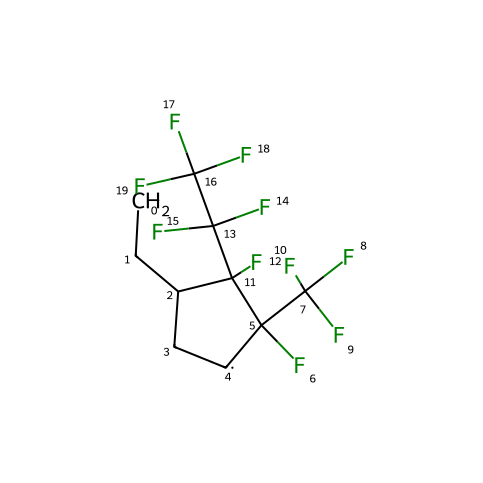 [CH2]CC1C[CH]C(F)(C(F)(F)F)C1(F)C(F)(F)C(F)(F)F